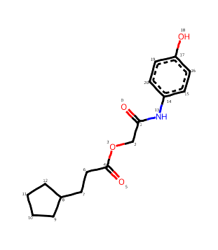 O=C(COC(=O)CCC1CCCC1)Nc1ccc(O)cc1